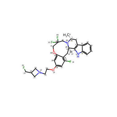 C[C@@H]1Cc2c([nH]c3ccccc23)[C@H]2Cc3c(F)cc(OCCN4CC(CF)C4)cc3OCC(F)(F)CN12